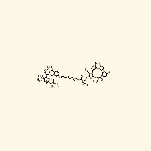 CN[C@@H](C)C(=O)N[C@H](C(=O)N1Cc2cc(OCCOCCOCCC(=O)N(C)CCn3nc4c(c3C#N)-c3cnc(N)c(c3)N3CCC[C@@H]3c3cc(F)ccc3C(=O)N(C)C4)ccc2C[C@H]1C(N)=O)C(C)(C)C